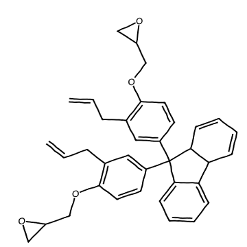 C=CCc1cc(C2(c3ccc(OCC4CO4)c(CC=C)c3)c3ccccc3C3C=CC=CC32)ccc1OCC1CO1